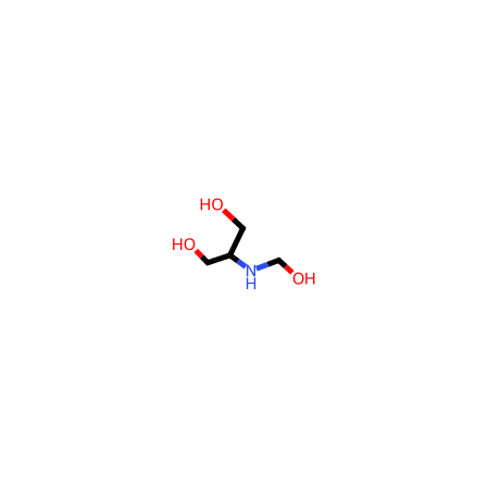 OCNC(CO)CO